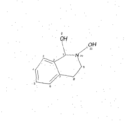 OC1c2ccccc2CCN1O